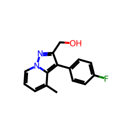 Cc1cccn2nc(CO)c(-c3ccc(F)cc3)c12